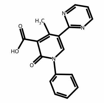 Cc1c(-c2ncccn2)cn(-c2ccccc2)c(=O)c1C(=O)O